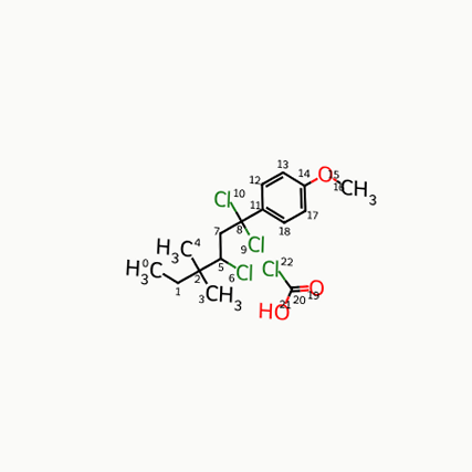 CCC(C)(C)C(Cl)CC(Cl)(Cl)c1ccc(OC)cc1.O=C(O)Cl